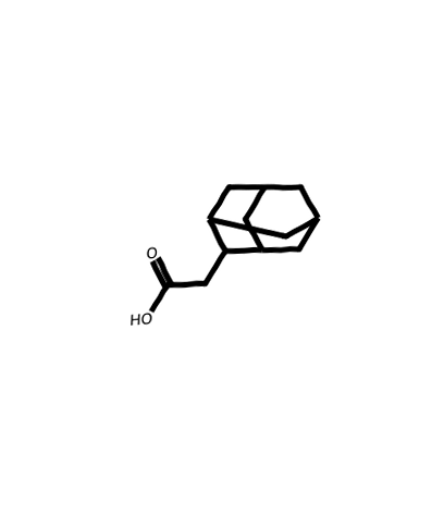 O=C(O)CC1C2CC3CC(C2)CC1C3